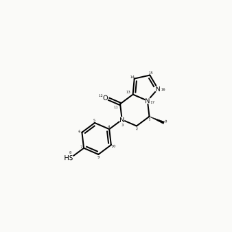 C[C@H]1CN(c2ccc(S)cc2)C(=O)c2ccnn21